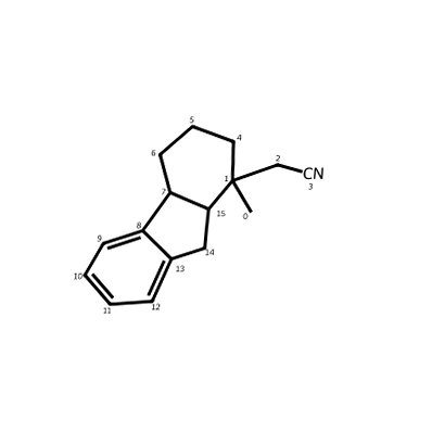 CC1(CC#N)CCCC2c3ccccc3CC21